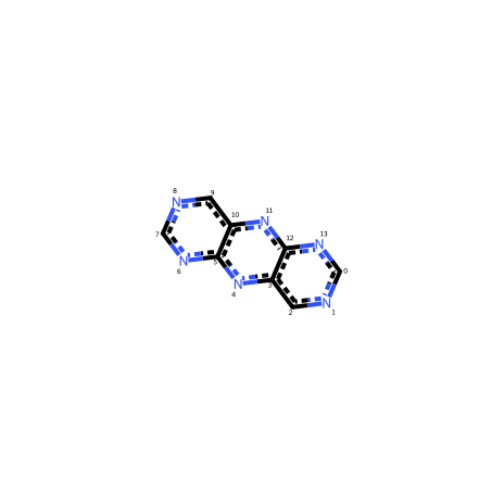 c1ncc2nc3ncncc3nc2n1